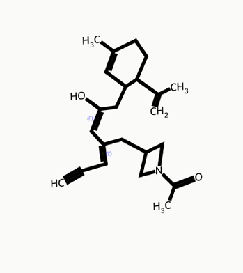 C#C/C=C(\C=C(\O)CC1C=C(C)CCC1C(=C)C)CC1CN(C(C)=O)C1